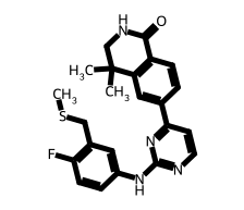 CSCc1cc(Nc2nccc(-c3ccc4c(c3)C(C)(C)CNC4=O)n2)ccc1F